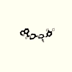 N#C[C@@H]1CN(C2CCN(C(=O)c3cccc4cccnc34)CC2)CC[C@@H]1Cc1ccc(Cl)c(Cl)c1